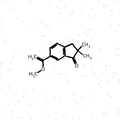 C=C(OC)c1ccc2c(c1)C(=O)C(C)(C)C2